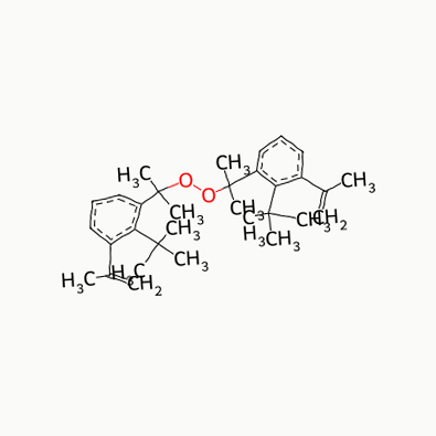 C=C(C)c1cccc(C(C)(C)OOC(C)(C)c2cccc(C(=C)C)c2C(C)(C)C)c1C(C)(C)C